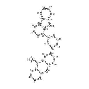 C=C1c2ccccc2Sc2ccc(-c3cccc(-c4cccc5c4sc4ccccc45)c3)cc21